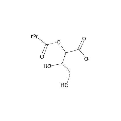 CCCC(=O)OC(C([O])=O)C(O)CO